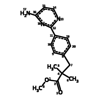 COC(=O)C(C)(C)Cc1ccc(-c2nccc(N)n2)cc1